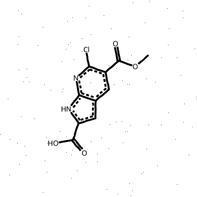 COC(=O)c1cc2cc(C(=O)O)[nH]c2nc1Cl